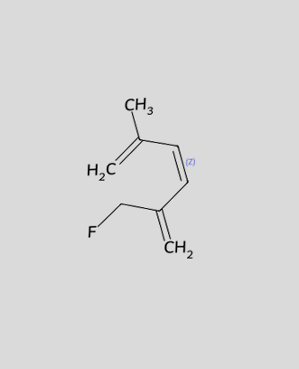 C=C(C)/C=C\C(=C)CF